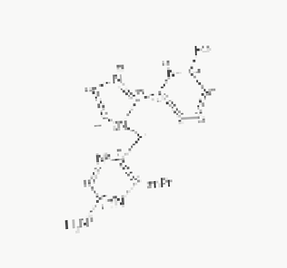 CCCc1nc(N)cnc1Cn1ccnc1-c1cccc(F)n1